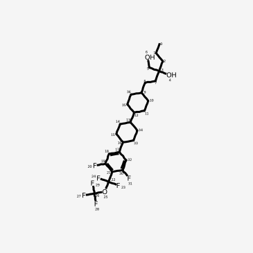 CCCC(O)(CO)CCC1CCC(C2CCC(c3cc(F)c(C(F)(F)OC(F)(F)F)c(F)c3)CC2)CC1